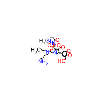 CCCCN(CCCCN)C(=O)CN1C[C@H](c2cc(CO)c3c(c2)OCO3)[C@@H](C(=O)O)[C@@H]1CCN1C(=O)CCN(C)C1=O